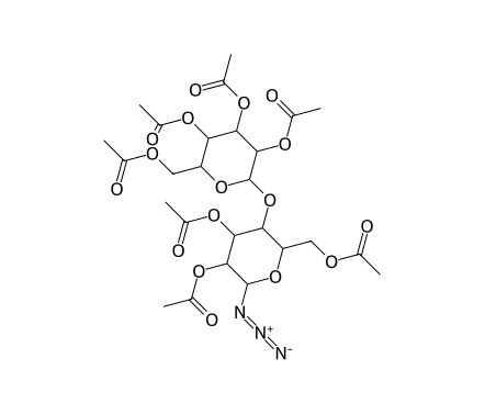 CC(=O)OCC1OC(N=[N+]=[N-])C(OC(C)=O)C(OC(C)=O)C1OC1OC(COC(C)=O)C(OC(C)=O)C(OC(C)=O)C1OC(C)=O